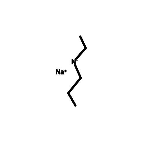 CCC[N-]CC.[Na+]